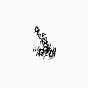 C=C(C)C(CO)c1cc(-n2nc(COCc3ccccc3)n(CC)c2=O)c(F)cc1C(=O)Nc1c(C)ccnc1Cl